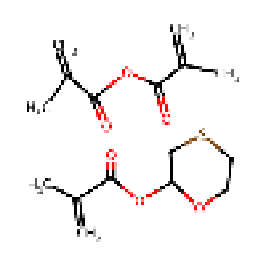 C=C(C)C(=O)OC(=O)C(=C)C.C=C(C)C(=O)OC1CSCCO1